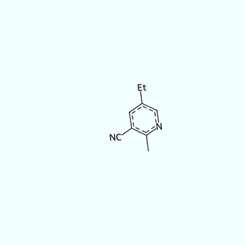 CCc1cnc(C)c(C#N)c1